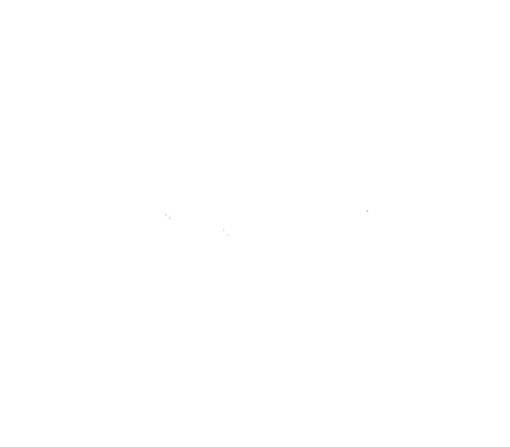 CCOCCN1CCN(c2cccc(CC(C)(C)C)c2)CC1